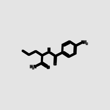 CCCC(NC(=O)c1ccc(N)cc1)C(N)=O